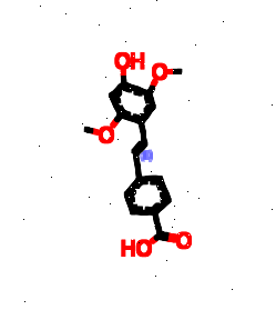 COc1cc(/C=C/c2ccc(C(=O)O)cc2)c(OC)cc1O